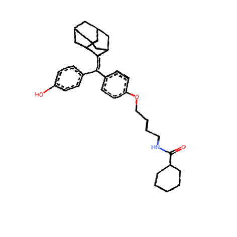 O=C(NCCCCOc1ccc(C(=C2C3CC4CC(C3)CC2C4)c2ccc(O)cc2)cc1)C1CCCCC1